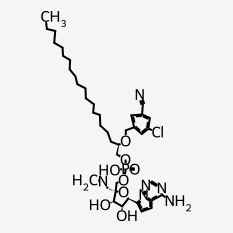 C=NC[C@]1(COP(=O)(O)OC[C@@H](CCCCCCCCCCCCCCCCCC)OCc2cc(Cl)cc(C#N)c2)O[C@@H](c2ccc3c(N)ncnn23)[C@H](O)[C@@H]1O